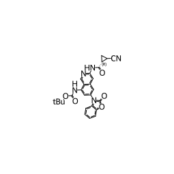 CC(C)(C)OC(=O)Nc1cc(-n2c(=O)oc3ccccc32)cc2cc(NC(=O)[C@@H]3CC3C#N)ncc12